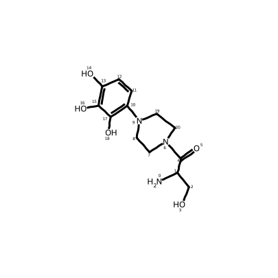 NC(CO)C(=O)N1CCN(c2ccc(O)c(O)c2O)CC1